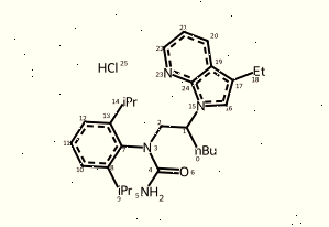 CCCCC(CN(C(N)=O)c1c(C(C)C)cccc1C(C)C)n1cc(CC)c2cccnc21.Cl